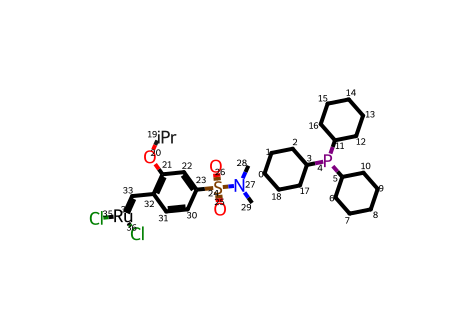 C1CCC(P(C2CCCCC2)C2CCCCC2)CC1.CC(C)Oc1cc(S(=O)(=O)N(C)C)ccc1[CH]=[Ru]([Cl])[Cl]